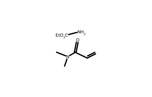 C=CC(=O)N(C)C.CCOC(N)=O